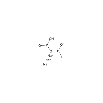 [Na+].[Na+].[Na+].[O-]P([O-])OP([O-])O